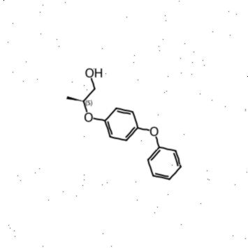 C[C@@H](CO)Oc1ccc(Oc2ccccc2)cc1